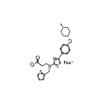 C[C@H]1CC[C@H](Oc2ccc(-c3csc(N(CCC(=O)[O-])Cc4cccs4)n3)cc2)CC1.[Na+]